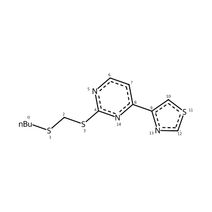 CCCCSCSc1nccc(-c2cs[c]n2)n1